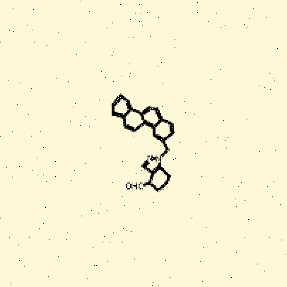 O=CC1CCCc2c1cnn2Cc1ccc2ccc3c4ccccc4ccc3c2c1